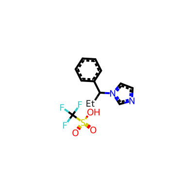 CCC(c1ccccc1)n1ccnc1.O=S(=O)(O)C(F)(F)F